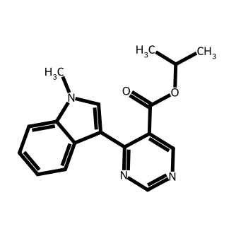 CC(C)OC(=O)c1cncnc1-c1cn(C)c2ccccc12